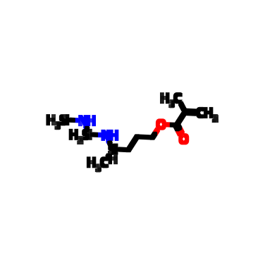 C=C(C)C(=O)OCCC[SiH](C)N[SiH2]N[SiH3]